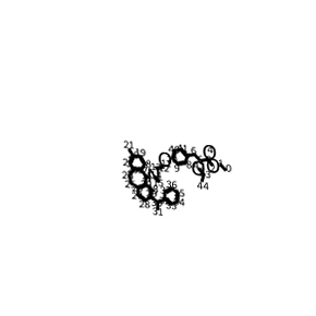 CCOC(=O)C(Cc1ccc(OCCN(C)C2c3ccc(C)cc3CCc3ccc(C(C)c4ccccc4)cc32)cc1)OCC